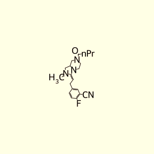 CCCC(=O)N1CCN2/C(=C/Cc3ccc(F)c(C#N)c3)N(C)CC2C1